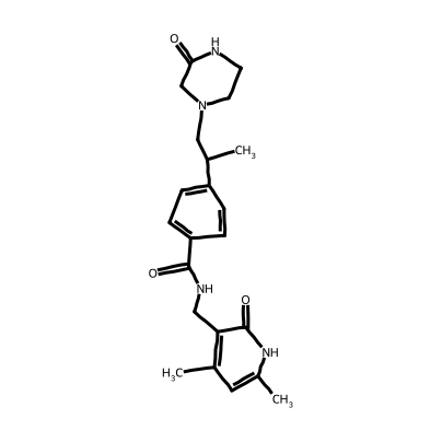 Cc1cc(C)c(CNC(=O)c2ccc(C(C)CN3CCNC(=O)C3)cc2)c(=O)[nH]1